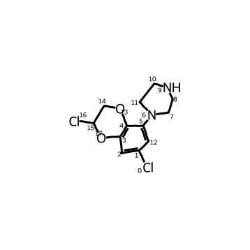 Clc1cc2c(c(N3CCNCC3)c1)OCC(Cl)O2